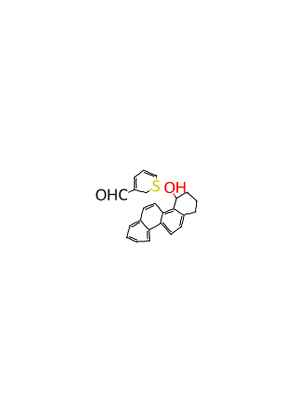 O=CC1=CC=CSC1.OC1CCCc2ccc3c(ccc4ccccc43)c21